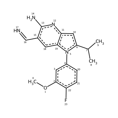 COc1cc(-n2c(C(C)C)cc3nc(N)c(C=N)cc32)ccc1F